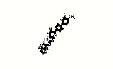 Cc1ccc(-c2ccc(-c3nc4nc(OC5CO[C@@H]6CCO[C@H]56)[nH]c4cc3Cl)cc2)cc1F